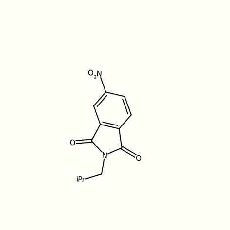 CC(C)CN1C(=O)c2ccc([N+](=O)[O-])cc2C1=O